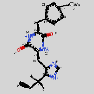 C=CC(C)(C)c1[nH]cnc1/C=c1\[nH]c(=O)/c(=C\c2ccc(OC)cc2)[nH]c1=O